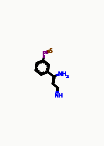 N=C/C=C(\N)c1cccc(P=S)c1